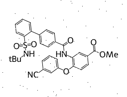 COC(=O)c1ccc(Oc2cccc(C#N)c2)c(NC(=O)c2ccc(-c3ccccc3S(=O)(=O)NC(C)(C)C)cc2)c1